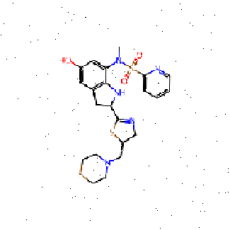 CN(c1cc(O)cc2c1NC(C1=NCC(CN3CCSCC3)S1)C2)S(=O)(=O)c1ccccn1